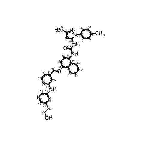 Cc1ccc(-n2nc(C(C)(C)C)cc2NC(=O)Nc2ccc(OCc3ccnc(Nc4cncc(CCO)n4)c3)c3ccccc23)cc1